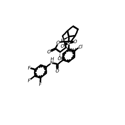 O=C(Nc1cc(F)c(F)c(F)c1)c1ccc(Cl)c(S(=O)(=O)[C@H]2C3CCC2C[C@]2(C3)OC(=O)[C@@H](O)[C@@H]2O)c1